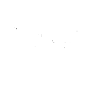 N#Cc1c(OCc2cccc3[nH]ccc23)c2ccccc2c(=O)n1CC(O)CO